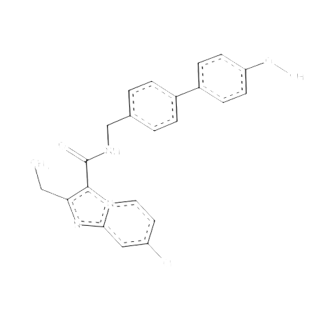 CCc1nc2cc(Cl)ccn2c1C(=O)NCc1ccc(-c2ccc(OC)cc2)cc1